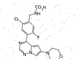 O=C(O)NCc1cc(F)c(-c2ncnn3cc(N4CCOCC4)cc23)cc1Cl